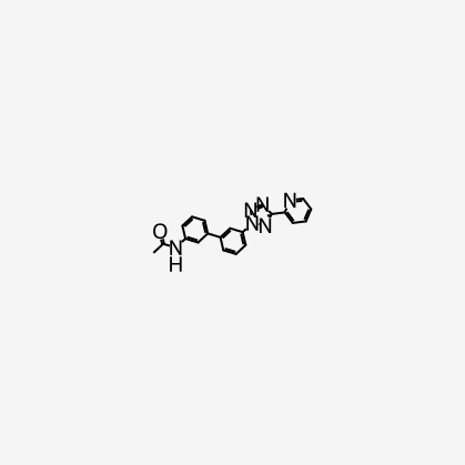 CC(=O)Nc1cccc(-c2cccc(-n3nnc(-c4ccccn4)n3)c2)c1